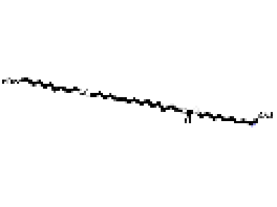 CCCCCCCC/C=C\CCCCCCCCOC(=O)CCCCCCCCCCCCCCCCCCCCCCCCCCCCCCCCCCCCC